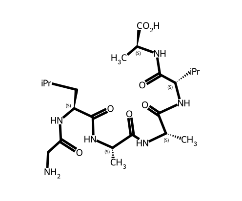 CC(C)C[C@H](NC(=O)CN)C(=O)N[C@@H](C)C(=O)N[C@@H](C)C(=O)N[C@H](C(=O)N[C@@H](C)C(=O)O)C(C)C